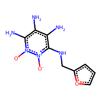 Nc1c(N)c(NCc2ccco2)[n+]([O-])[n+]([O-])c1N